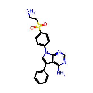 NCCS(=O)(=O)c1ccc(-n2cc(-c3ccccc3)c3c(N)ncnc32)cc1